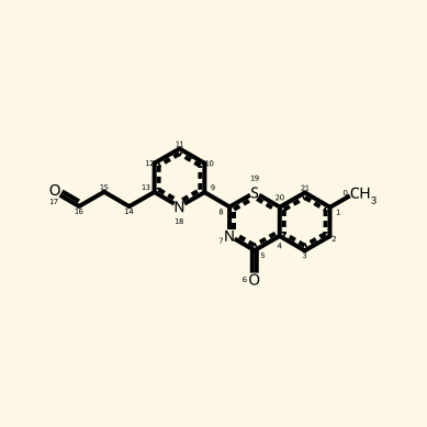 Cc1ccc2c(=O)nc(-c3cccc(CCC=O)n3)sc2c1